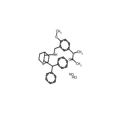 COc1ccc(N(C)C(C)=O)cc1CNC1C2CCN(CC2)C1C(c1ccccc1)c1ccccc1.Cl.Cl